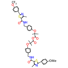 COc1ccc(-c2nc(C)c(C(=O)NCc3ccc(OC(C)(C)C(=O)OC(=O)C(C)(C)Oc4ccc(CNC(=O)c5sc(-c6ccc(OC(F)(F)F)cc6)nc5C)cc4)cc3)s2)cc1